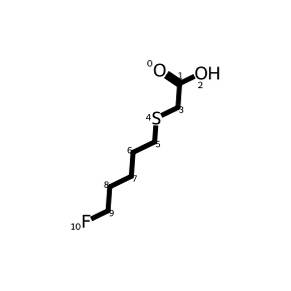 O=C(O)CSCCCCCF